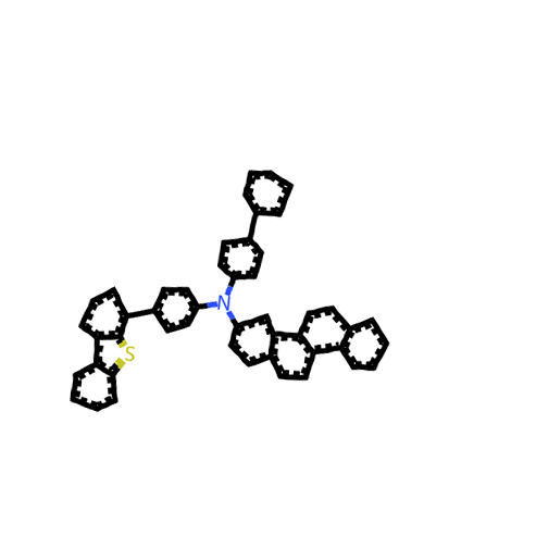 c1ccc(-c2ccc(N(c3ccc(-c4cccc5c4sc4ccccc45)cc3)c3ccc4ccc5c6ccccc6ccc5c4c3)cc2)cc1